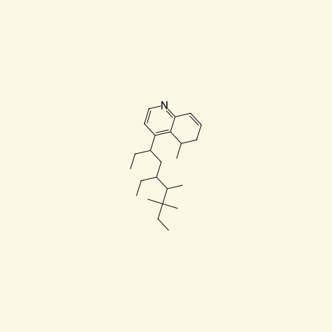 CCC(CC(CC)C(C)C(C)(C)CC)c1ccnc2c1C(C)CC=C2